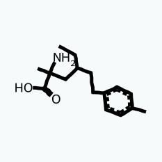 CCC(CCc1ccc(C)cc1)CC(C)(N)C(=O)O